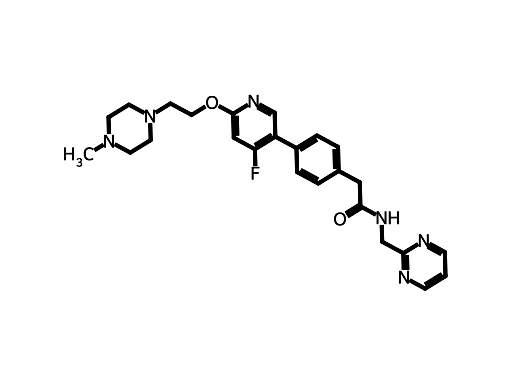 CN1CCN(CCOc2cc(F)c(-c3ccc(CC(=O)NCc4ncccn4)cc3)cn2)CC1